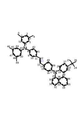 Cc1cc(C)cc(N(c2ccc(/C=C/c3ccc(N(c4ccc(C(C)(C)C)cc4)c4cccc5ccccc45)cc3)cc2)c2cc(C)cc(C)c2)c1